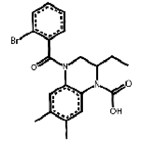 CCC1CN(C(=O)c2ccccc2Br)c2cc(C)c(C)cc2N1C(=O)O